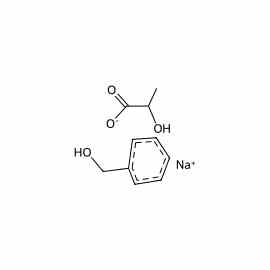 CC(O)C(=O)[O-].OCc1ccccc1.[Na+]